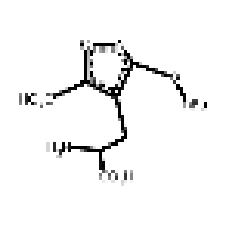 CCCCOc1noc(C(=O)O)c1C[C@H](N)C(=O)O